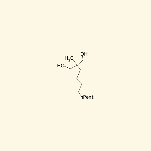 CCCCCCCCCC(C)(CO)CO